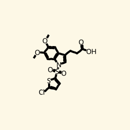 COc1cc2c(CCC(=O)O)cn(S(=O)(=O)c3ccc(Cl)s3)c2cc1OC